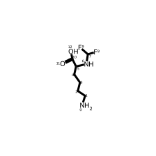 NCCCCC(NC(F)F)C(=O)O